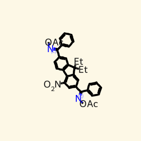 CCC1(CC)c2cc(/C(=N/OC(C)=O)c3ccccc3)ccc2-c2c([N+](=O)[O-])cc(/C(=N/OC(C)=O)c3ccccc3)cc21